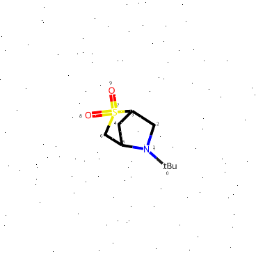 CC(C)(C)N1CC2CC1CS2(=O)=O